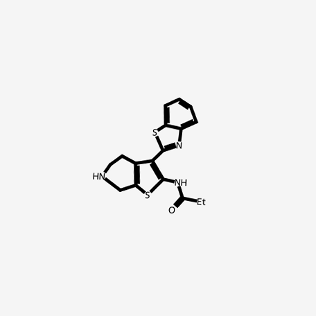 CCC(=O)Nc1sc2c(c1-c1nc3ccccc3s1)CCNC2